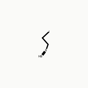 B=BCCI